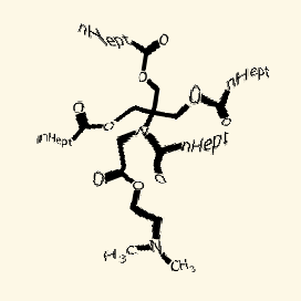 CCCCCCCC(=O)OCC(COC(=O)CCCCCCC)(COC(=O)CCCCCCC)N(CC(=O)OCCN(C)C)C(=O)CCCCCCC